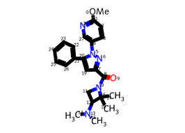 COc1ccc(-n2nc(C(=O)N3CC(N(C)C)C3(C)C)cc2-c2ccccc2)cn1